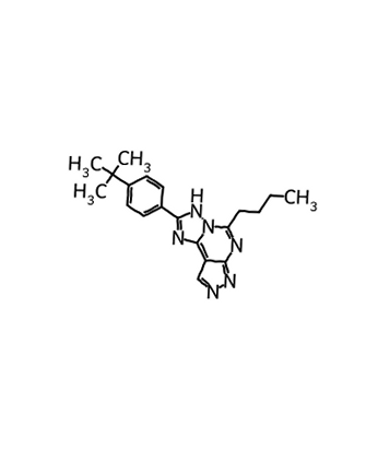 CCCCc1nc2nncc-2c2nc(-c3ccc(C(C)(C)C)cc3)[nH]n12